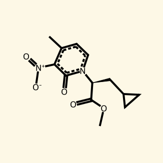 COC(=O)[C@H](CC1CC1)n1ccc(C)c([N+](=O)[O-])c1=O